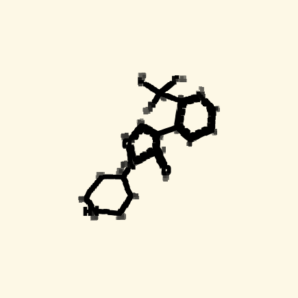 O=c1c(-c2cccnc2C(F)(F)F)con1C1CCNCC1